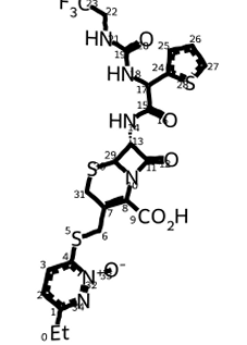 CCc1ccc(SCC2=C(C(=O)O)N3C(=O)[C@@H](NC(=O)C(NC(=O)NCC(F)(F)F)c4cccs4)C3SC2)[n+]([O-])n1